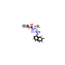 CC[C@H](C)[C@@H](CNCc1cccc2ccccc12)NC(=O)OC(C)(C)C